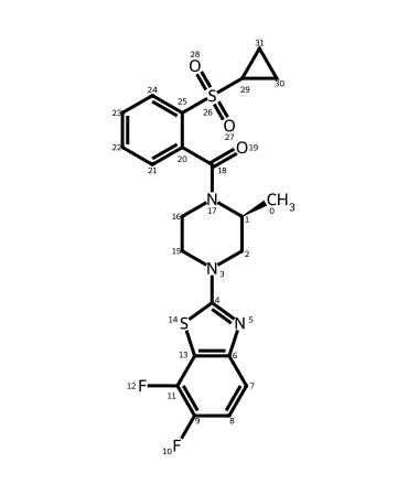 C[C@H]1CN(c2nc3ccc(F)c(F)c3s2)CCN1C(=O)c1ccccc1S(=O)(=O)C1CC1